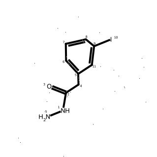 NNC(=O)Cc1cccc(I)c1